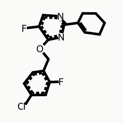 Fc1cc(Cl)ccc1COc1nc(C2=CCCCC2)ncc1F